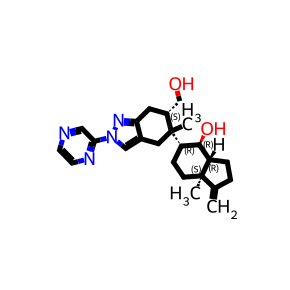 C=C1CC[C@H]2[C@H](O)[C@@H](C3(C)Cc4cn(-c5cnccn5)nc4C[C@@H]3CO)CC[C@]12C